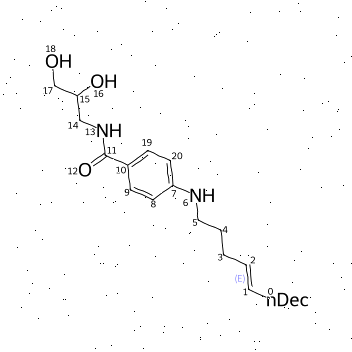 CCCCCCCCCC/C=C/CCCNc1ccc(C(=O)NCC(O)CO)cc1